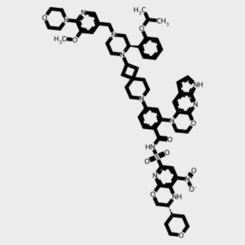 COc1cc(CN2CCN(C3CC4(CCN(c5ccc(C(=O)NS(=O)(=O)c6cc([N+](=O)[O-])c7c(n6)OC[C@@H](C6CCOCC6)N7)c(N6CCOc7nc8[nH]ccc8cc76)c5)CC4)C3)[C@H](c3ccccc3OC(C)C)C2)cnc1N1CCOCC1